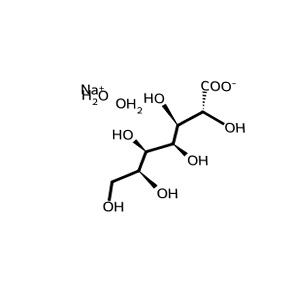 O.O.O=C([O-])[C@H](O)[C@H](O)[C@@H](O)[C@H](O)[C@@H](O)CO.[Na+]